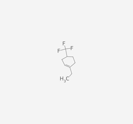 CCC1=CCC(C(F)(F)F)CC1